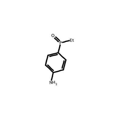 CC[P](=O)c1ccc(N)cc1